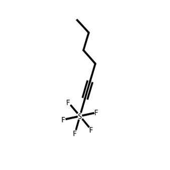 CCCCC#CS(F)(F)(F)(F)F